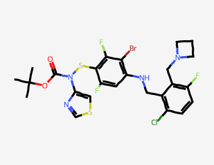 CC(C)(C)OC(=O)N(Sc1c(F)cc(NCc2c(Cl)ccc(F)c2CN2CCC2)c(Br)c1F)c1cscn1